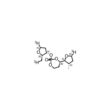 [2H]C[C@H]1O[C@@H]([3H])C[C@@H]1O[P@@]1(=O)OCC[C@H]([C@H]2O[C@@H]([3H])C[C@@H]2C)O1